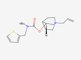 C=CC[N+]12CCC(CC1)[C@@H](OC(=O)N(CCCC)Cc1cccs1)C2